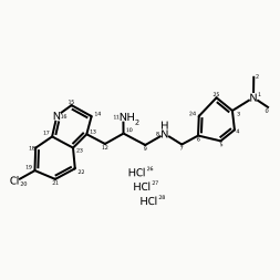 CN(C)c1ccc(CNCC(N)Cc2ccnc3cc(Cl)ccc23)cc1.Cl.Cl.Cl